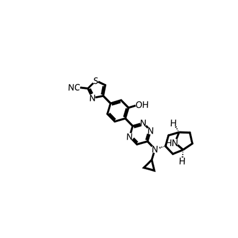 N#Cc1nc(-c2ccc(-c3ncc(N(C4CC4)[C@@H]4C[C@H]5CC[C@@H](C4)N5)nn3)c(O)c2)cs1